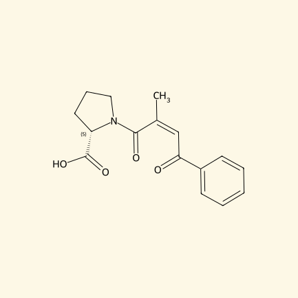 CC(=CC(=O)c1ccccc1)C(=O)N1CCC[C@H]1C(=O)O